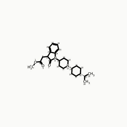 COC(=O)CC1C(=O)N(C2CCN([C@H]3CC[C@@H](C(C)C)CC3)CC2)c2ccccc21